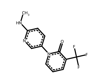 CNc1ccc(-n2cccc(C(F)(F)F)c2=O)cn1